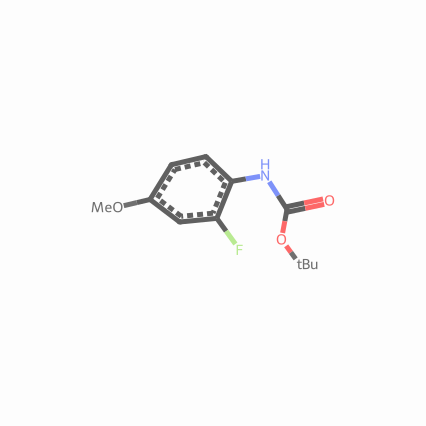 COc1ccc(NC(=O)OC(C)(C)C)c(F)c1